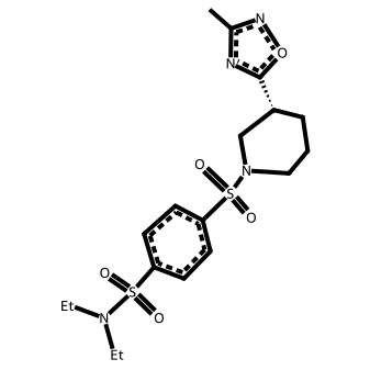 CCN(CC)S(=O)(=O)c1ccc(S(=O)(=O)N2CCC[C@@H](c3nc(C)no3)C2)cc1